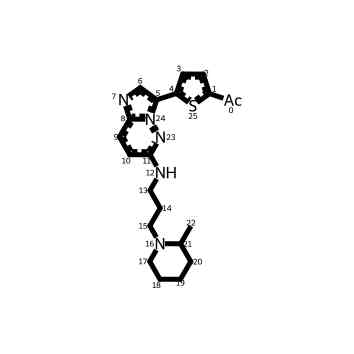 CC(=O)c1ccc(-c2cnc3ccc(NCCCN4CCCCC4C)nn23)s1